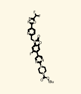 CC(C)(C)OC(=O)N1CCN(c2ncc(-c3cc4oc(=O)n(Cc5ccc(-c6nnc(C(F)F)o6)cn5)c4cc3F)cn2)CC1